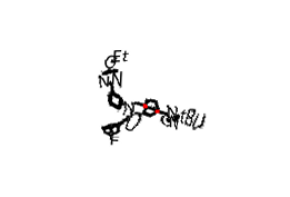 CCOc1cnc(-c2cccc(N(CC34CCC(c5nc(C(C)(C)C)no5)(CC3)CC4)C(=O)C3CC(F)C4CC3C4)c2)nc1